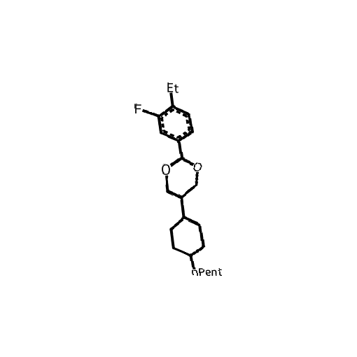 CCCCCC1CCC(C2COC(c3ccc(CC)c(F)c3)OC2)CC1